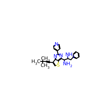 CC(C)(C)C#Cc1csc2c(C(N)C(N)Cc3ccccc3)nc(-c3ccncc3)nc12